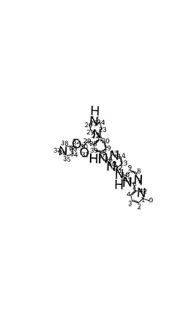 Cc1cccc(-c2nccc(Nc3ccnc(Nc4ccc(N5CCNCC5)c(CC(=O)O[C@@H]5CCN(C)C5)c4)n3)n2)n1